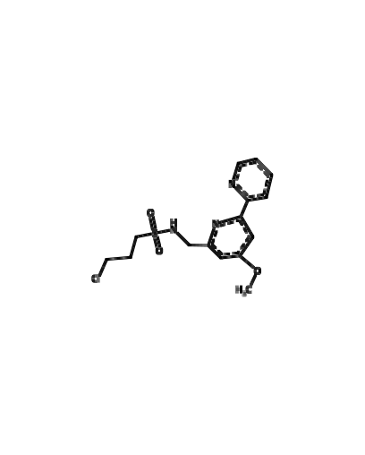 COc1cc(CNS(=O)(=O)CCCCl)nc(-c2ccccn2)c1